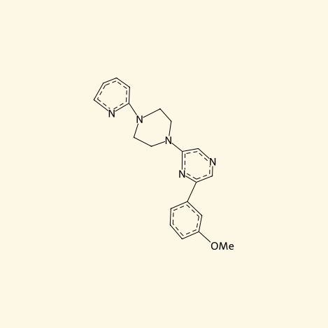 COc1cccc(-c2cncc(N3CCN(c4ccccn4)CC3)n2)c1